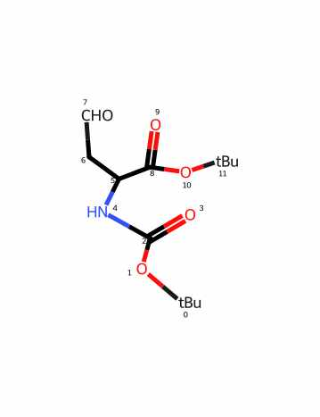 CC(C)(C)OC(=O)NC(CC=O)C(=O)OC(C)(C)C